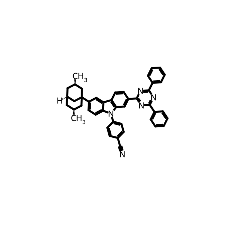 C[C@@H]1C[C@@H]2C[C@H](C)CC(c3ccc4c(c3)c3ccc(-c5nc(-c6ccccc6)nc(-c6ccccc6)n5)cc3n4-c3ccc(C#N)cc3)(C1)C2